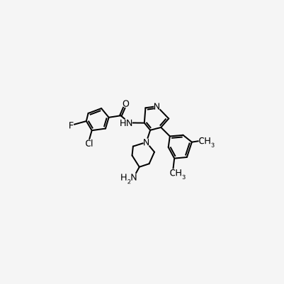 Cc1cc(C)cc(-c2cncc(NC(=O)c3ccc(F)c(Cl)c3)c2N2CCC(N)CC2)c1